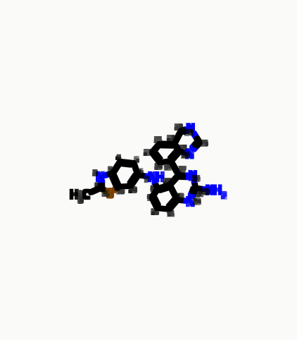 Cc1nc2ccc(Nc3cccc4nc(N)nc(-c5cccc6cncnc56)c34)cc2s1